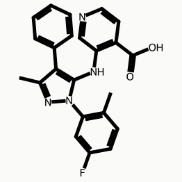 Cc1ccc(F)cc1-n1nc(C)c(-c2ccccc2)c1Nc1cnccc1C(=O)O